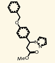 COC(=O)CC(c1ccc(OCc2ccccc2)cc1)n1cccn1